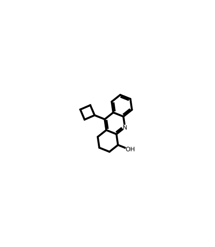 OC1CCCc2c1nc1ccccc1c2C1CCC1